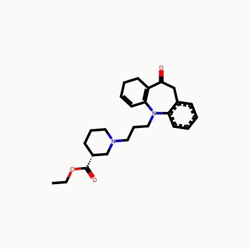 CCOC(=O)[C@@H]1CCCN(CCCN2C3=C(CCC=C3)C(=O)Cc3ccccc32)C1